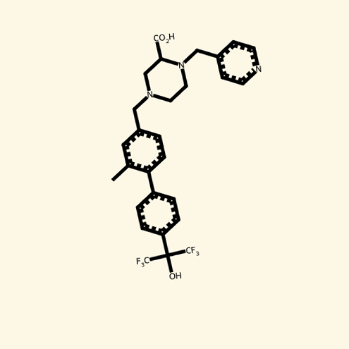 Cc1cc(CN2CCN(Cc3ccncc3)C(C(=O)O)C2)ccc1-c1ccc(C(O)(C(F)(F)F)C(F)(F)F)cc1